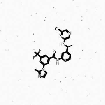 Cc1nccn1-c1cc(C(=O)Nc2cccc([C@H](C)Nc3cncc(Cl)n3)c2)cc(C(F)(F)F)c1